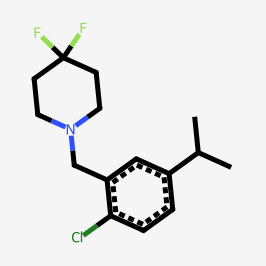 CC(C)c1ccc(Cl)c(CN2CCC(F)(F)CC2)c1